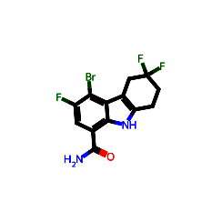 NC(=O)c1cc(F)c(Br)c2c3c([nH]c12)CCC(F)(F)C3